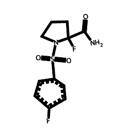 NC(=O)C1(F)CCCN1S(=O)(=O)c1ccc(F)cc1